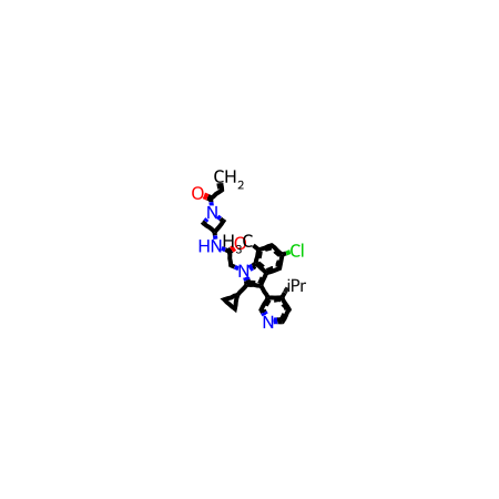 C=CC(=O)N1CC(NC(=O)Cn2c(C3CC3)c(-c3cnccc3C(C)C)c3cc(Cl)cc(C)c32)C1